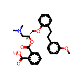 COc1cccc(CCc2ccccc2OC[C@@H](CN(C)C)OC(=O)c2ccccc2C(=O)O)c1